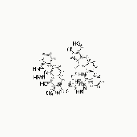 CCCCCc1nc(Cl)c(CO)n1Cc1ccc(-c2ccccc2C(=N)N(CCCCc2nc(Cl)c(CO)n2Cc2ccc(-c3ccccc3C(=N)NN=N)cc2)N=N)cc1